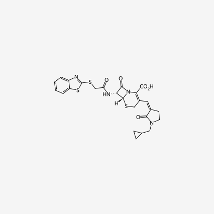 O=C(CSc1nc2ccccc2s1)N[C@@H]1C(=O)N2C(C(=O)O)=C(C=C3CCN(CC4CC4)C3=O)CS[C@H]12